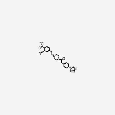 COC(=O)c1ccc(CCN2CCN(C(=O)Cc3ccc(-n4cnnn4)cc3)CC2)cc1C#N